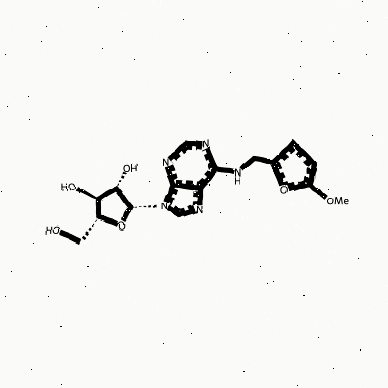 COc1ccc(CNc2ncnc3c2ncn3[C@@H]2O[C@H](CO)[C@@H](O)[C@@H]2O)o1